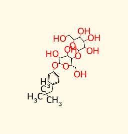 CC(C)(C)Cc1ccc(OC2OC(CO)C(OC3OC(CO)C(O)C(O)C3O)C(O)C2O)cc1